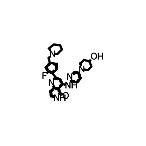 O=c1[nH]ccc2nc(-c3ccc(CN4CCCCC4)cc3F)cc(Nc3ccc(N4CCC(O)CC4)cn3)c12